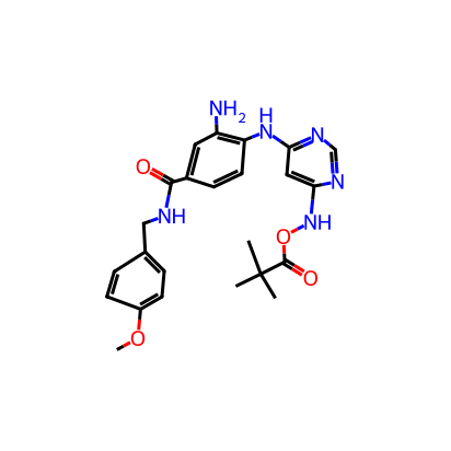 COc1ccc(CNC(=O)c2ccc(Nc3cc(NOC(=O)C(C)(C)C)ncn3)c(N)c2)cc1